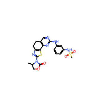 CC1COC(=O)N1c1nc2c(s1)-c1nc(Nc3cccc(NS(C)(=O)=O)c3)ncc1CC2